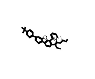 CCc1c(C[C@H](C)CC)[n+]2ccccc2c2c1ccc1c3ccc(-c4ccc(C(C)(C)C)cc4)cc3oc12